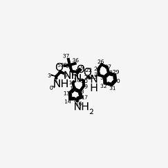 CN[C@@H](C)C(=O)NC(C(=O)N1Cc2ccc(N)cc2C[C@H]1C(=O)N[C@@H]1CCCc2ccccc21)C(C)(C)C